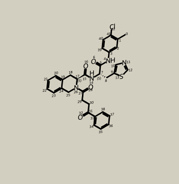 Cc1cc(NC(=O)[C@H](Cc2cncs2)NC(=O)[C@@H]2Cc3ccccc3CN2C(=O)CCC(=O)c2ccccc2)ccc1Cl